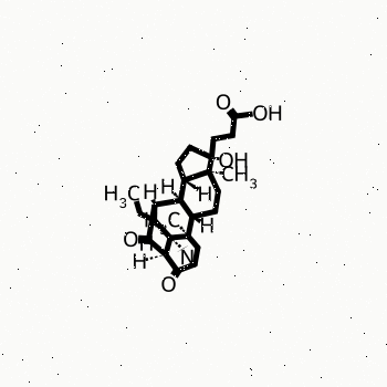 CC[C@H]1[C@H]2C(=O)[C@@H]3C(=O)CC[C@](C)([C@H]4CC[C@@]5(C)[C@@H](CC[C@@]5(O)CCC(=O)O)[C@H]24)[C@@]31C#N